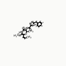 C=NC1=C(/C=C\C)O[C@H](C)[C@H](NC(=O)c2nnc(Cc3ccccc3)[nH]2)C(=O)N1